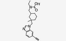 C#Cc1ccc2ncn(CC3(C)CCCC(CN(CC)C(=O)O)C3)c2c1